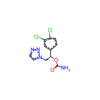 NC(=O)O[C@@H](Cn1ccnn1)c1ccc(Cl)c(Cl)c1